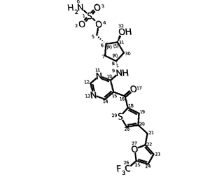 NS(=O)(=O)OC[C@H]1C[C@@H](Nc2ncncc2C(=O)c2cc(Cc3ccc(C(F)(F)F)o3)cs2)C[C@@H]1O